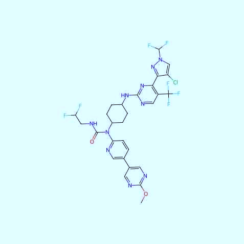 COc1ncc(-c2ccc(N(C(=O)NCC(F)F)C3CCC(Nc4ncc(C(F)(F)F)c(-c5nn(C(F)F)cc5Cl)n4)CC3)nc2)cn1